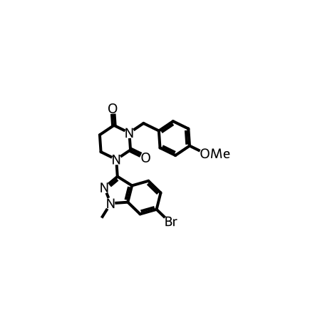 COc1ccc(CN2C(=O)CCN(c3nn(C)c4cc(Br)ccc34)C2=O)cc1